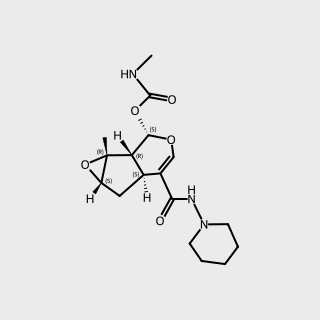 CNC(=O)O[C@@H]1OC=C(C(=O)NN2CCCCC2)[C@H]2C[C@@H]3O[C@]3(C)[C@H]12